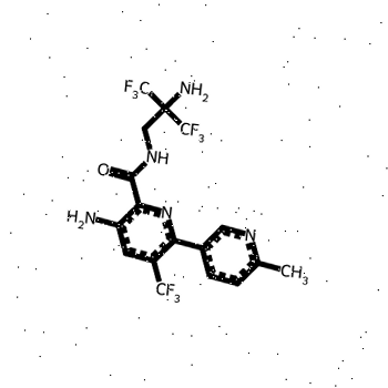 Cc1ccc(-c2nc(C(=O)NCC(N)(C(F)(F)F)C(F)(F)F)c(N)cc2C(F)(F)F)cn1